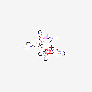 CN(CCN(C)CCN(C)CC(COCC(O)C[N+]1(C)CCCC1)(COCC(O)C[N+]1(C)CCCC1)COCC(O)C[N+]1(C)CCCC1)CCN(C)CC(COCC(O)C[N+]1(C)CCCC1)(COCC(O)C[N+]1(C)CCCC1)COCC(O)C[N+]1(C)CCCC1